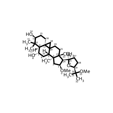 CO[C@H]1C[C@@]2(C)[C@@H]3C[C@H](O)[C@H]4C(C)(C)[C@@H](O)CC[C@@]45CC35CC[C@]2(C)[C@H]1[C@@]1(C)CC[C@@H](C(C)(C)OC)O1